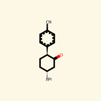 CCC[C@@H]1CC[C@@H](c2ccc(C#N)cc2)C(=O)C1